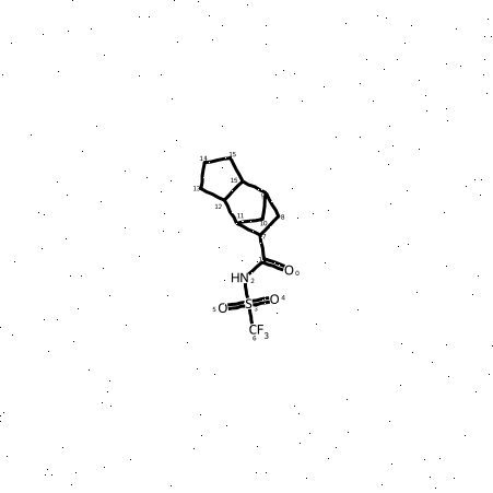 O=C(NS(=O)(=O)C(F)(F)F)C1CC2CC1C1CCCC21